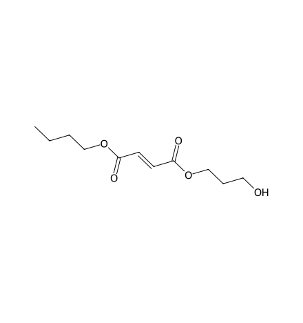 CCCCOC(=O)/C=C/C(=O)OCCCO